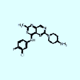 Cc1nc(Nc2ccc(F)c(Cl)c2)c2nc(N3CCC(N)CC3)ncc2n1